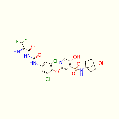 N=C(C(=O)NC(=O)Nc1cc(Cl)c(Oc2cc(S(=O)(=O)NC34CCC(O)(CC3)C4)c(O)cn2)c(Cl)c1)C(F)F